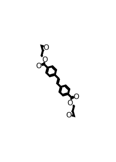 O=C(OCC1CO1)c1ccc(/C=C/c2ccc(C(=O)OCC3CO3)cc2)cc1